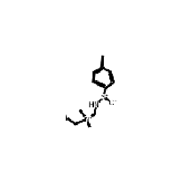 Cc1ccc([S+]([O-])NC[N+](C)(C)CI)cc1